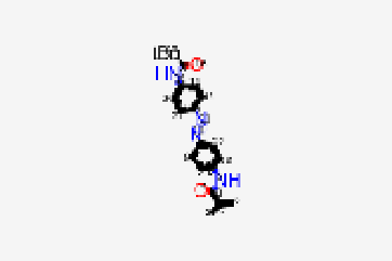 C=C(C)C(=O)Nc1ccc(/N=N/c2ccc(NC(=O)C(C)(C)C)cc2)cc1